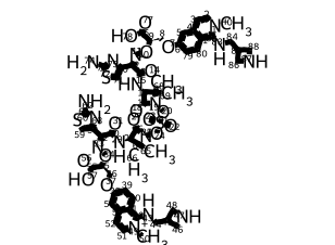 C[n+]1ccc2cc(OC[C@H](O/N=C(\C(=O)N[C@@H]3C(=O)N(OS(=O)(=O)ON4C(=O)[C@@H](NC(=O)/C(=N\O[C@@H](COc5ccc6c(NCC7CNC7)[n+](C)ccc6c5)C(=O)O)c5csc(N)n5)C4(C)C)C3(C)C)c3csc(N)n3)C(=O)O)ccc2c1NCC1CNC1